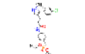 COP(=O)(Cc1ccc(NC(=O)CCc2cnn(C)c2-c2ccc(Cl)cc2)cc1)OC